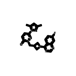 Cc1cc(C)n(-c2ccc(=O)n(CC3CN(c4ncnc5cc(F)ccc45)C3)n2)n1